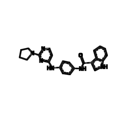 O=C(Nc1ccc(Nc2ccnc(N3CCCC3)n2)cc1)c1c[nH]c2ccccc12